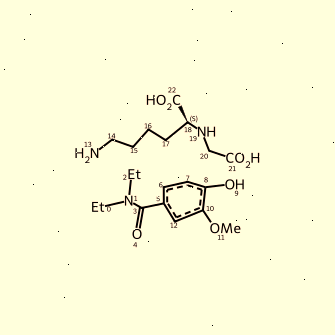 CCN(CC)C(=O)c1ccc(O)c(OC)c1.NCCCC[C@H](NCC(=O)O)C(=O)O